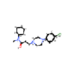 CN(C(=O)CCN1CCN(c2ccc(Cl)cc2)CC1)C1CCCCC1